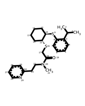 CC(C)c1ccccc1S[C@@H]1CCCC[C@H]1SCC(=O)N(C)CCc1ccccn1